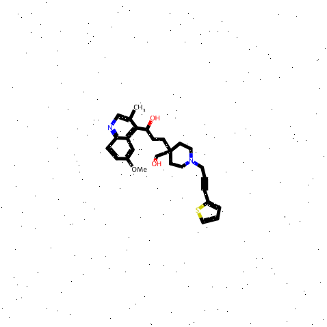 COc1ccc2ncc(C)c(C(O)CCC3(CO)CCN(CC#Cc4cccs4)CC3)c2c1